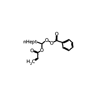 C=CC(=O)OC(CCCCCCC)OOC(=O)c1ccccc1